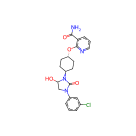 NC(=O)c1cccnc1O[C@H]1CC[C@H](N2C(=O)N(c3cccc(Cl)c3)CC2O)CC1